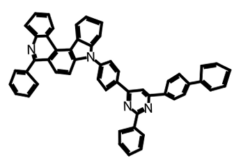 c1ccc(-c2ccc(-c3cc(-c4ccc(-n5c6ccccc6c6c7c(ccc65)c(-c5ccccc5)nc5ccccc57)cc4)nc(-c4ccccc4)n3)cc2)cc1